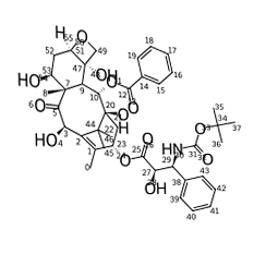 CC1=C2[C@@H](O)C(=O)[C@@]3(C)C([C@H](OC(=O)c4ccccc4)[C@](O)(C[C@@H]1OC(=O)[C@H](O)[C@@H](NC(=O)OC(C)(C)C)c1ccccc1)C2(C)C)[C@]1(O)CO[C@@H]1C[C@@H]3O